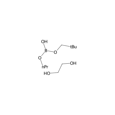 CCCOB(O)OCC(C)(C)C.OCCO